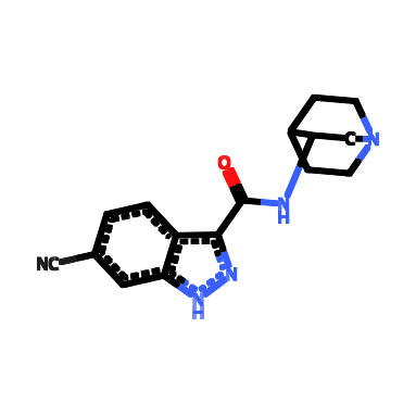 N#Cc1ccc2c(C(=O)NC3CN4CCC3CC4)n[nH]c2c1